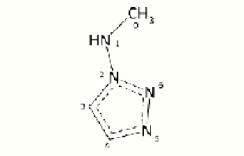 CNn1ccnn1